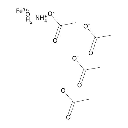 CC(=O)[O-].CC(=O)[O-].CC(=O)[O-].CC(=O)[O-].O.[Fe+3].[NH4+]